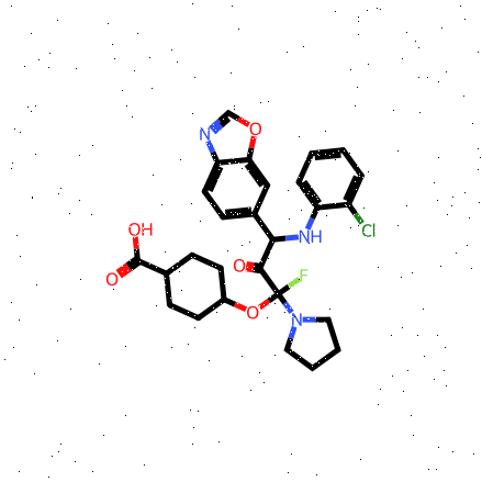 O=C(O)C1CCC(OC(F)(C(=O)C(Nc2ccccc2Cl)c2ccc3ncoc3c2)N2CCCC2)CC1